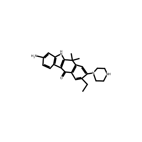 CCc1cc2c(cc1N1CCNCC1)C(C)(C)c1[nH]c3cc(N)ccc3c1C2=O